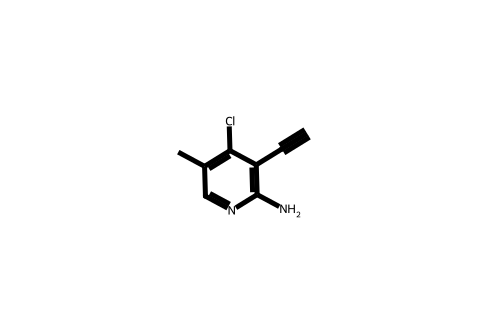 C#Cc1c(N)ncc(C)c1Cl